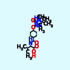 CC(C)C(NC(=O)C1CCC(ON[NH+]([O-])N(C)C(C)(C)C)CC1)C(=O)O